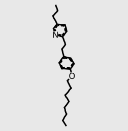 CCCCCCCCOc1ccc(CCc2ccc(CCC)cn2)cc1